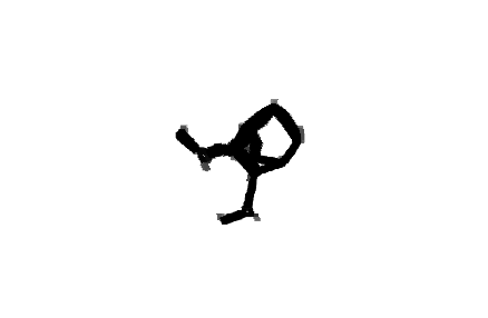 COC1=C(OC)C2CCC1C2